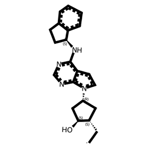 [CH2]C[C@H]1C[C@@H](n2ccc3c(N[C@H]4CCc5ccccc54)ncnc32)C[C@@H]1O